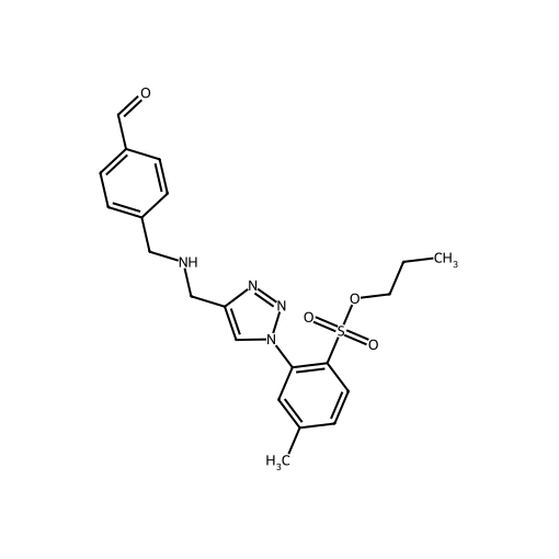 CCCOS(=O)(=O)c1ccc(C)cc1-n1cc(CNCc2ccc(C=O)cc2)nn1